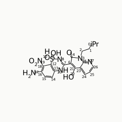 CC(C)CCn1c(=O)c(C2=NS(O)(O)c3c(ccc(N)c3[N+](=O)[O-])N2)c(O)c2cccnc21